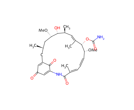 CO[C@H]1C[C@H](C)CC2=CC(=O)C=C(NC(=O)/C(C)=C/C=C\[C@@H](OC)[C@@H](OC(N)=O)/C(C)=C/[C@H](C)[C@H]1O)C2=O